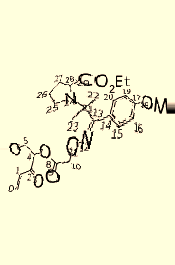 C=CC(=O)C(CO)OC(=O)CON=C(c1ccc(OC)cc1)C(C)(C)N1CCCC1C(=O)OCC